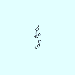 CN(C)C1CCN(c2cccc(CCNC(=O)C3CC3c3ccc(F)cc3)c2)C1